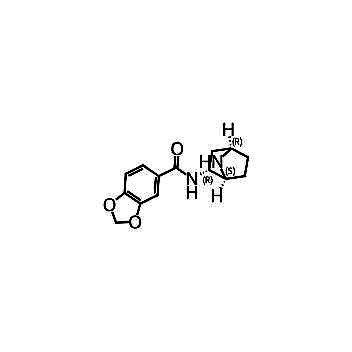 O=C(N[C@@H]1C[C@H]2CC[C@@H]1N2)c1ccc2c(c1)OCO2